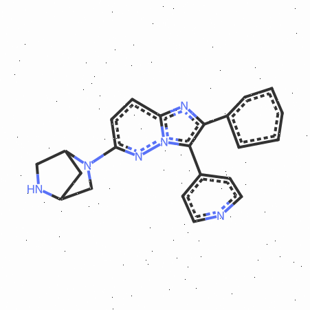 c1ccc(-c2nc3ccc(N4CC5CC4CN5)nn3c2-c2ccncc2)cc1